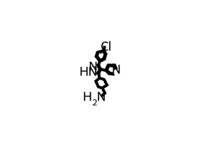 NCC1CCC(c2[nH]nc(-c3ccc(Cl)cc3)c2-c2ccncc2)CC1